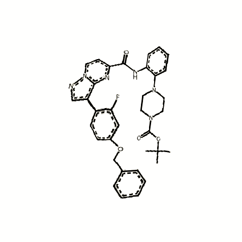 CC(C)(C)OC(=O)N1CCN(c2ccccc2NC(=O)c2ccn3ncc(-c4ccc(OCc5ccccc5)cc4F)c3n2)CC1